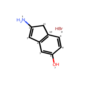 Br.NC1=Cc2cc(O)ccc2C1